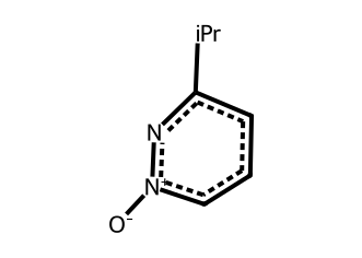 CC(C)c1ccc[n+]([O-])n1